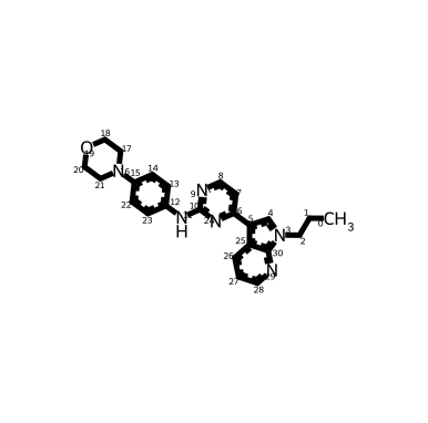 CCCn1cc(-c2ccnc(Nc3ccc(N4CCOCC4)cc3)n2)c2cccnc21